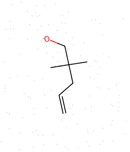 C=CCC(C)(C)C[O]